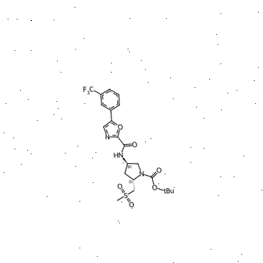 CC(C)(C)OC(=O)N1C[C@H](NC(=O)c2ncc(-c3cccc(C(F)(F)F)c3)o2)C[C@H]1CS(C)(=O)=O